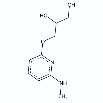 CNc1cccc(OCC(O)CO)n1